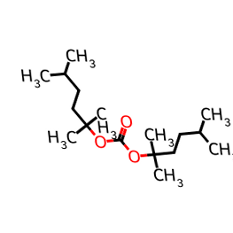 CC(C)CCC(C)(C)OC(=O)OC(C)(C)CCC(C)C